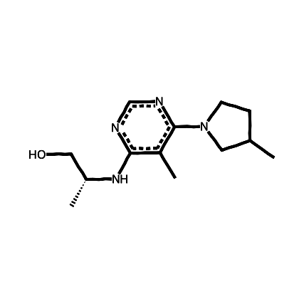 Cc1c(N[C@H](C)CO)ncnc1N1CCC(C)C1